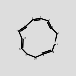 [C]1=C/C=C\C=C\CC/C=C/CC/C=C/1